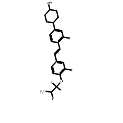 CCCC1CCC(c2ccc(/C=C/c3ccc(OC(F)(F)C(F)C(F)(F)F)c(F)c3)c(F)c2)CC1